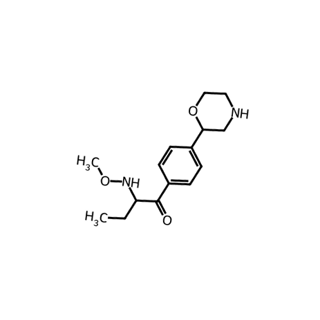 CCC(NOC)C(=O)c1ccc(C2CNCCO2)cc1